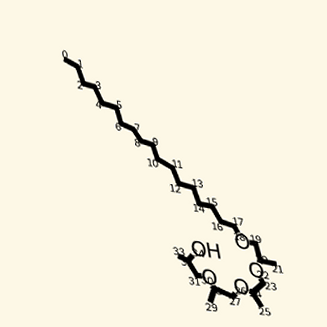 CCCCCCCCCCCCCCCCCCOCC(C)OCC(C)OCC(C)OCC(C)O